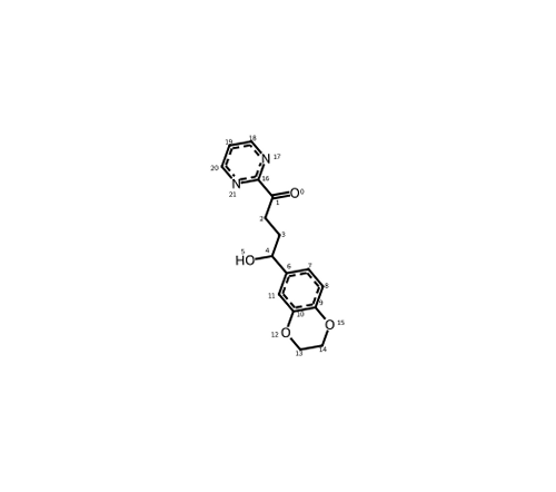 O=C(CCC(O)c1ccc2c(c1)OCCO2)c1ncccn1